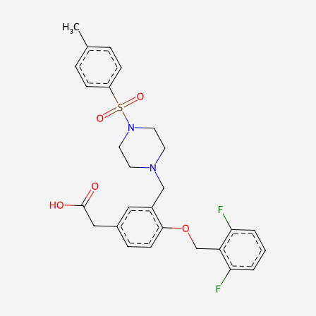 Cc1ccc(S(=O)(=O)N2CCN(Cc3cc(CC(=O)O)ccc3OCc3c(F)cccc3F)CC2)cc1